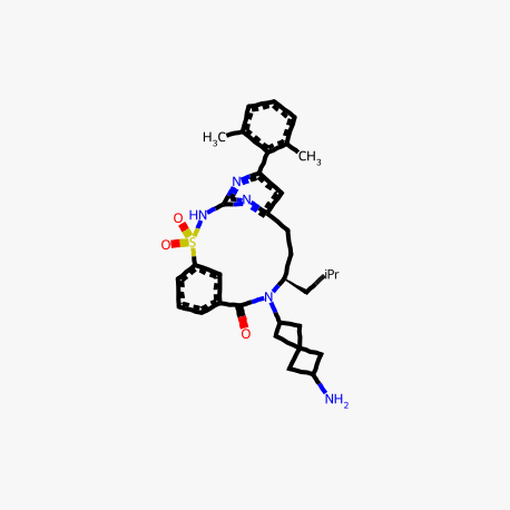 Cc1cccc(C)c1-c1cc2nc(n1)NS(=O)(=O)c1cccc(c1)C(=O)N(C1CC3(CC(N)C3)C1)[C@H](CC(C)C)CC2